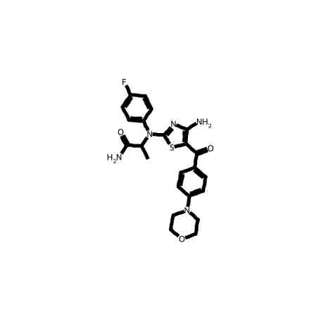 CC(C(N)=O)N(c1ccc(F)cc1)c1nc(N)c(C(=O)c2ccc(N3CCOCC3)cc2)s1